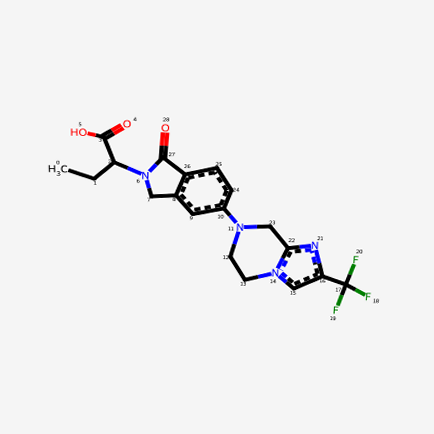 CCC(C(=O)O)N1Cc2cc(N3CCn4cc(C(F)(F)F)nc4C3)ccc2C1=O